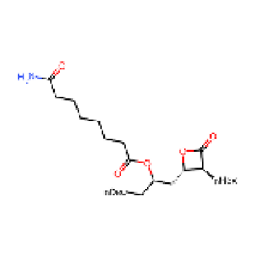 CCCCCCCCCCCC(C[C@@H]1OC(=O)[C@H]1CCCCCC)OC(=O)CCCCCCC(N)=O